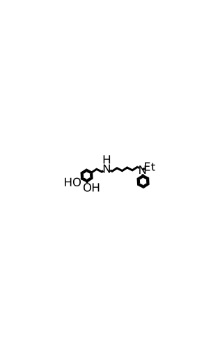 CCN(CCCCCCNCCc1ccc(O)c(O)c1)c1ccccc1